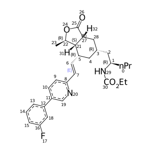 CCC[C@H](C[C@@H]1C[C@H](/C=C/c2ccc(-c3cccc(F)c3)cn2)[C@@H]2[C@@H](C)OC(=O)[C@@H]2C1)NC(=O)OCC